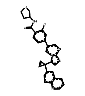 O=C(NC1CCOC1)c1ccc(-c2cnc3ncc(C4(c5ccc6ncccc6c5)C=C4)n3c2)cc1Cl